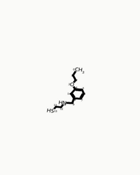 CCCOc1cccc(CNCCS)c1